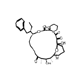 CC[C@H](Cc1ccccc1)[C@@H]1CCCCCC(=O)[C@@H](C)[C@H](O)[C@@H](C)[C@@H]2CC[C@@H](C)C(O)(O2)C(=O)C(=O)N2CCCC[C@H]2C(=O)O1